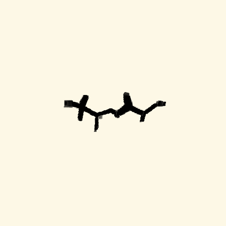 CC(C)(C)NC(=O)OC[C@@H](F)C(C)(C)O